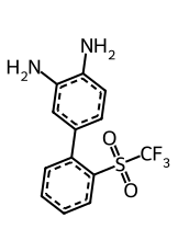 Nc1ccc(-c2ccccc2S(=O)(=O)C(F)(F)F)cc1N